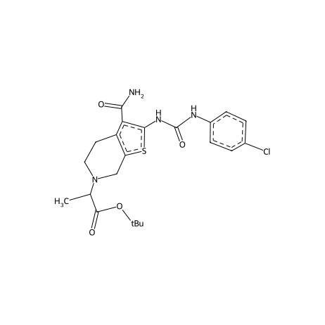 CC(C(=O)OC(C)(C)C)N1CCc2c(sc(NC(=O)Nc3ccc(Cl)cc3)c2C(N)=O)C1